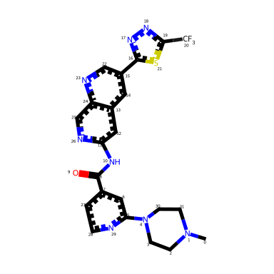 CN1CCN(c2cc(C(=O)Nc3cc4cc(-c5nnc(C(F)(F)F)s5)cnc4cn3)ccn2)CC1